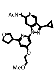 COCCOc1cc(C2CCOC2)nc(-n2nc(C3CC3)c3cnc(NC(C)=O)cc32)c1